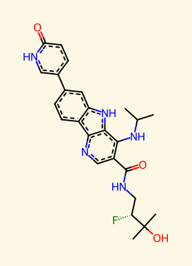 CC(C)Nc1c(C(=O)NC[C@@H](F)C(C)(C)O)cnc2c1[nH]c1cc(-c3ccc(=O)[nH]c3)ccc12